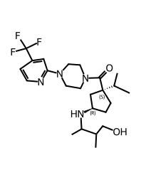 CC(CO)C(C)N[C@@H]1CC[C@@](C(=O)N2CCN(c3cc(C(F)(F)F)ccn3)CC2)(C(C)C)C1